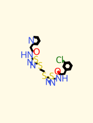 O=C(Cc1cccc(Cl)c1)Nc1nnc(SCCSc2nnc(NC(=O)Cc3ccccn3)s2)s1